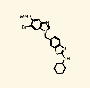 COc1cc2ncn(Cc3ccc4nc(NC5CCCCC5)sc4c3)c2cc1Br